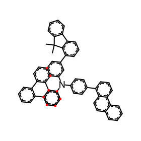 CC1(C)c2ccccc2-c2cccc(-c3cccc(N(c4ccc(-c5cccc6c5ccc5ccccc56)cc4)c4ccccc4-c4ccccc4-c4ccccc4-c4ccccc4)c3)c21